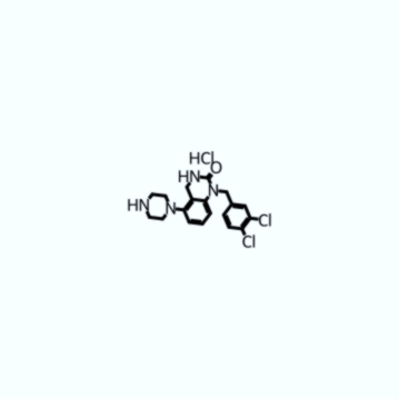 Cl.O=C1NCc2c(N3CCNCC3)cccc2N1Cc1ccc(Cl)c(Cl)c1